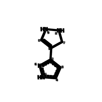 C1=C(c2cc[nH]n2)CNN1